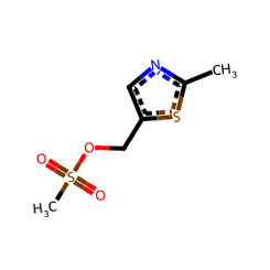 Cc1ncc(COS(C)(=O)=O)s1